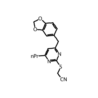 CCCc1cc(Cc2ccc3c(c2)OCO3)nc(SCC#N)n1